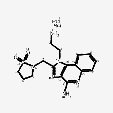 Cl.Cl.NCCn1c(CN2CCCS2(=O)=O)nc2c(N)nc3ccccc3c21